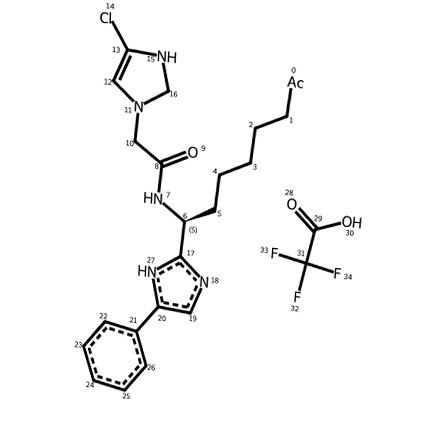 CC(=O)CCCCC[C@H](NC(=O)CN1C=C(Cl)NC1)c1ncc(-c2ccccc2)[nH]1.O=C(O)C(F)(F)F